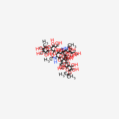 CC(=O)NC1C(O[C@@H]2OC(CO)[C@H](O)C(O)C2O[C@@H]2OC(C)[C@@H](O)[C@H](O)C2O)[C@@H](O)C(CO)O[C@@H]1O[C@H]1C(CO)O[C@@H](O[C@@H]2C(CO)O[C@@H](OC(C)C)C(O)C2O)C(O)C1O[C@]1(C(=O)O)C[C@@H](O)[C@@H](NC(C)=O)C([C@H](O)[C@H](O)CO)O1